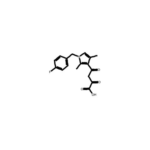 Cc1cn(Cc2ccc(F)cc2)c(C)c1C(=O)CC(=O)C(=O)O